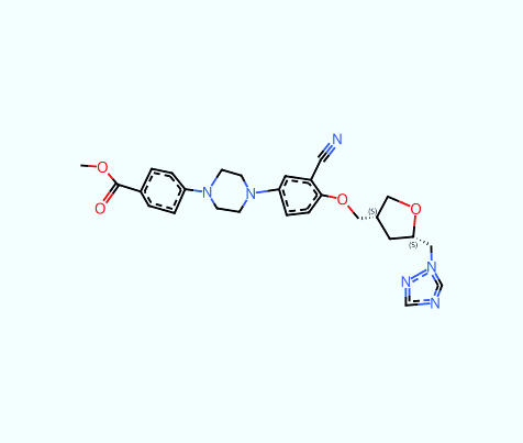 COC(=O)c1ccc(N2CCN(c3ccc(OC[C@@H]4CO[C@H](Cn5cncn5)C4)c(C#N)c3)CC2)cc1